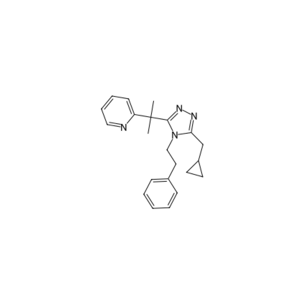 CC(C)(c1ccccn1)c1nnc(CC2CC2)n1CCc1ccccc1